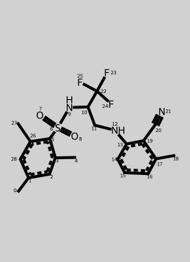 Cc1cc(C)c(S(=O)(=O)NC(CNc2cccc(C)c2C#N)C(F)(F)F)c(C)c1